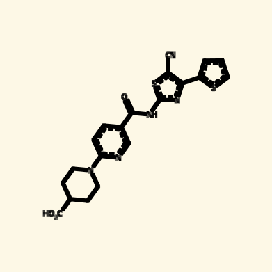 N#Cc1sc(NC(=O)c2ccc(N3CCC(C(=O)O)CC3)nc2)nc1-c1cccs1